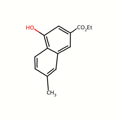 CCOC(=O)c1cc(O)c2ccc(C)cc2c1